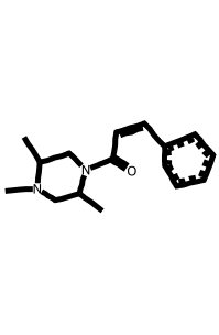 CC1CN(C(=O)/C=C\c2ccccc2)C(C)CN1C